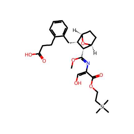 COC(=NC(=CO)C(=O)OCC[Si](C)(C)C)[C@@H]1[C@H](Cc2ccccc2CCC(=O)O)[C@H]2CC[C@@H]1O2